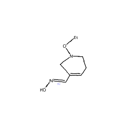 CCON1CCC=C(/C=N/O)C1